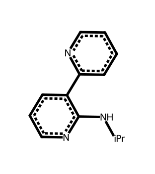 CC(C)Nc1ncccc1-c1ccccn1